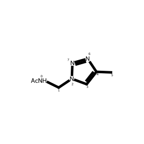 CC(=O)NCn1cc(C)nn1